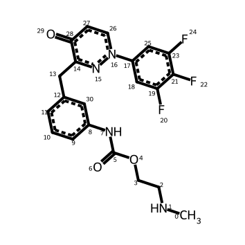 CNCCOC(=O)Nc1cccc(Cc2nn(-c3cc(F)c(F)c(F)c3)ccc2=O)c1